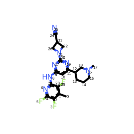 Cc1c(F)c(F)nc(Nc2cc(C3CCCN(C)C3)nc(N3CC(C#N)C3)n2)c1F